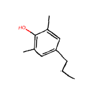 C[CH]Cc1cc(C)c(O)c(C)c1